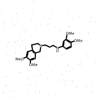 COc1ccc(NCCCN2CCc3cc(OC)c(OC)cc3C2)cc1OC